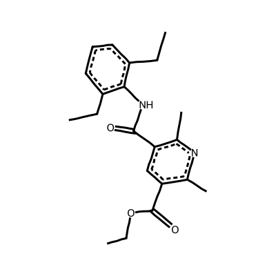 CCOC(=O)c1cc(C(=O)Nc2c(CC)cccc2CC)c(C)nc1C